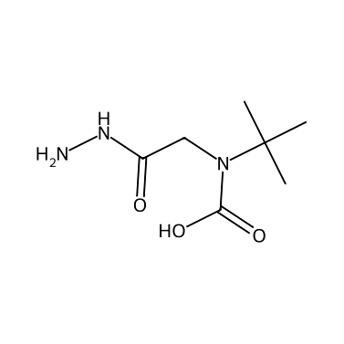 CC(C)(C)N(CC(=O)NN)C(=O)O